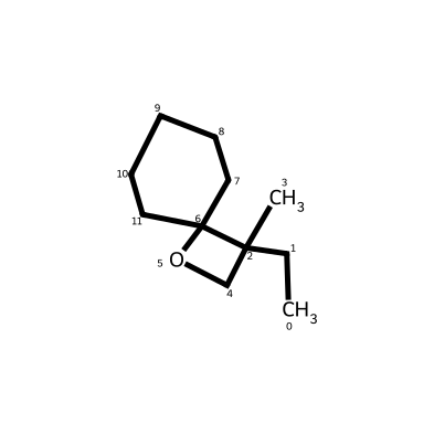 CCC1(C)COC12CCCCC2